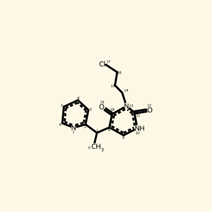 CC(c1ccccn1)c1c[nH]c(=O)n(CCCCl)c1=O